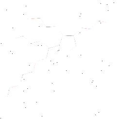 CCOCCOCC(OCCO)C1OCC(OCCO)C1OCCO